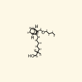 CCCCOC[C@H]1[C@@H](CCCCCC(C)(C)CO)[C@H]2CC[C@@H]1O2